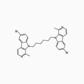 Cc1nccc2c3cc(Br)ccc3n(CCCCCCn3c4ccc(Br)cc4c4ccnc(C)c43)c12